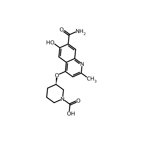 Cc1cc(O[C@@H]2CCCN(C(=O)O)C2)c2cc(O)c(C(N)=O)cc2n1